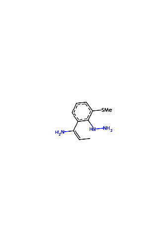 C/C=C(/N)c1cccc(SC)c1NN